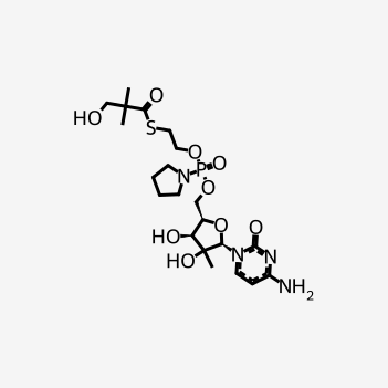 CC(C)(CO)C(=O)SCCOP(=O)(OC[C@H]1O[C@@H](n2ccc(N)nc2=O)C(C)(O)[C@H]1O)N1CCCC1